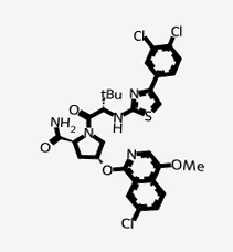 COc1cnc(O[C@@H]2C[C@@H](C(N)=O)N(C(=O)[C@@H](Nc3nc(-c4ccc(Cl)c(Cl)c4)cs3)C(C)(C)C)C2)c2cc(Cl)ccc12